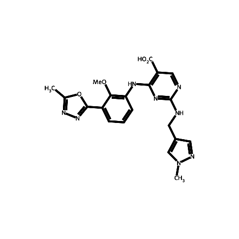 COc1c(Nc2nc(NCc3cnn(C)c3)ncc2C(=O)O)cccc1-c1nnc(C)o1